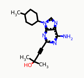 CC1CCC(n2cnc3c(N)nc(C#CC(C)(C)O)nc32)CC1